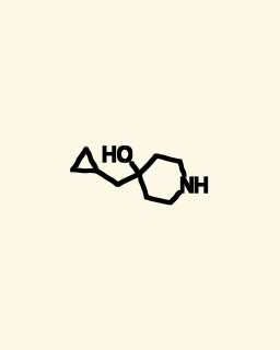 OC1(CC2CC2)CCNCC1